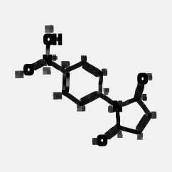 O=C1C=CC(=O)N1c1ccc([N+](=O)O)cc1